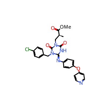 COC(=O)[C@@H](C)Cn1c(=O)[nH]/c(=N\c2ccc(Oc3ccncc3)cc2)n(Cc2ccc(Cl)cc2)c1=O